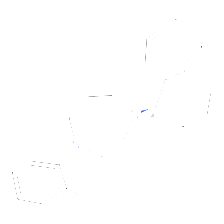 CCc1ccccc1N1CCCN([C@@H]2CCCc3ccccc32)CC1